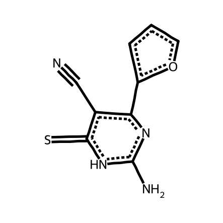 N#Cc1c(-c2ccco2)nc(N)[nH]c1=S